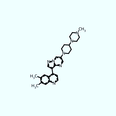 Cc1cc2nccc(-c3cnn4cc(N5CCC(N6CCN(C)CC6)CC5)cnc34)c2cc1C